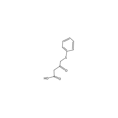 O=C(O)CC(=O)CSc1ccccc1